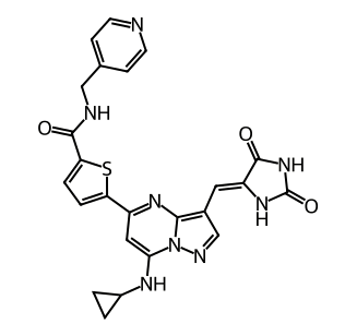 O=C1NC(=O)/C(=C/c2cnn3c(NC4CC4)cc(-c4ccc(C(=O)NCc5ccncc5)s4)nc23)N1